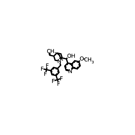 C=CC1C[N+]2(Cc3cc(C(F)(F)F)cc(C(F)(F)F)c3)CCC1CC2C(O)c1ccnc2ccc(OC)cc12